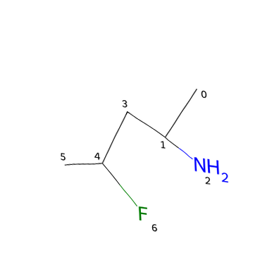 CC(N)CC(C)F